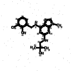 Cn1cnc2c(NCc3cccc(Cl)c3O)nc(NCC(C)(C)O)nc21